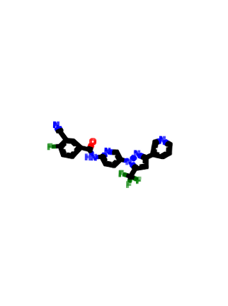 N#Cc1cc(C(=O)Nc2ccc(-n3nc(-c4cccnc4)cc3C(F)(F)F)cn2)ccc1F